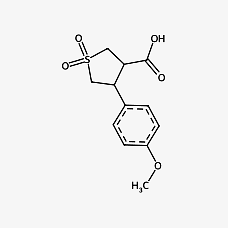 COc1ccc(C2CS(=O)(=O)CC2C(=O)O)cc1